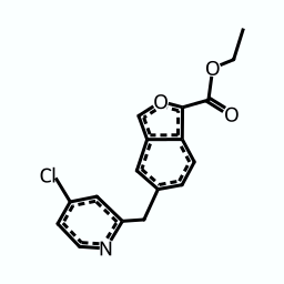 CCOC(=O)c1occ2cc(Cc3cc(Cl)ccn3)ccc12